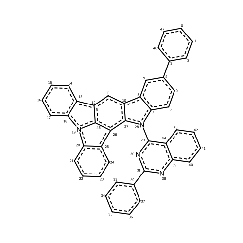 c1ccc(-c2ccc3c(c2)c2cc4c5ccccc5n5c6ccccc6c(c2n3-c2nc(-c3ccccc3)nc3ccccc23)c45)cc1